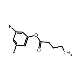 CCCCC(=O)Oc1cc(F)cc(F)c1